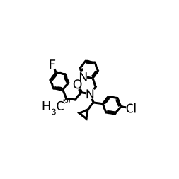 C[C@@H](CC(=O)N(Cc1ccccn1)C(c1ccc(Cl)cc1)C1CC1)c1ccc(F)cc1